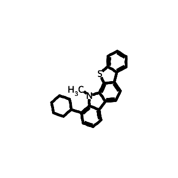 Cn1c2c(C3CCCCC3)cccc2c2ccc3c4ccccc4sc3c21